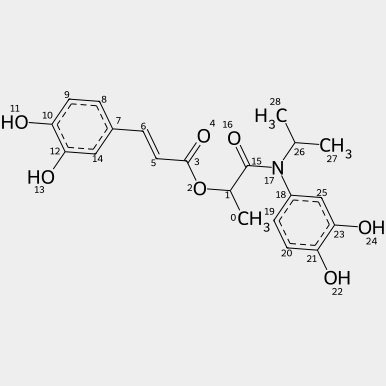 CC(OC(=O)C=Cc1ccc(O)c(O)c1)C(=O)N(c1ccc(O)c(O)c1)C(C)C